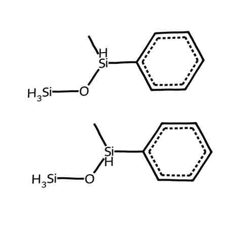 C[SiH](O[SiH3])c1ccccc1.C[SiH](O[SiH3])c1ccccc1